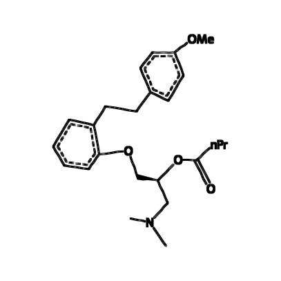 CCCC(=O)O[C@H](COc1ccccc1CCc1ccc(OC)cc1)CN(C)C